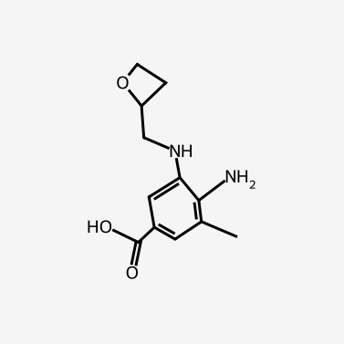 Cc1cc(C(=O)O)cc(NCC2CCO2)c1N